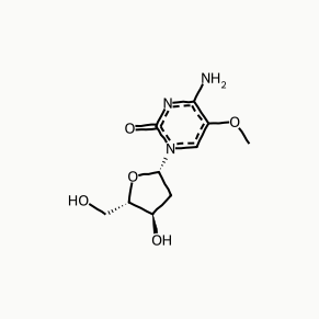 COc1cn([C@@H]2C[C@@H](O)[C@H](CO)O2)c(=O)nc1N